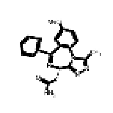 COc1ccc2c(c1)C(c1ccccc1)=N[C@@H](CC(N)=O)c1nnc(C)n1-2